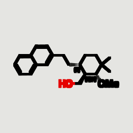 CO[C@@H]1[C@@H](CO)[C@H](CCc2ccc3ccccc3c2)CCC1(C)C